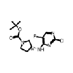 CC(C)(C)OC(=O)N1CC[C@@H](Nc2nc(Cl)ncc2F)C1